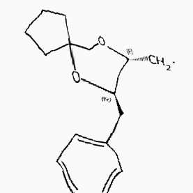 [CH2][C@H]1OC2(CCCC2)O[C@@H]1Cc1ccccc1